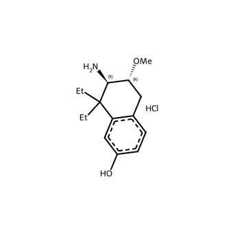 CCC1(CC)c2cc(O)ccc2C[C@@H](OC)[C@@H]1N.Cl